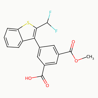 COC(=O)c1cc(C(=O)O)cc(-c2c(C(F)F)sc3ccccc23)c1